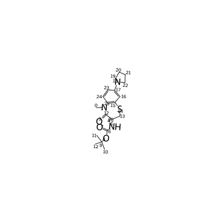 CN1C(=O)[C@@H](NC(=O)OC(C)(C)C)CSc2cc(N3CCCC3)ccc21